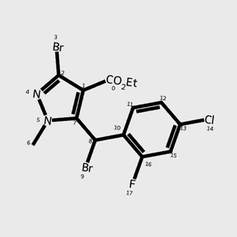 CCOC(=O)c1c(Br)nn(C)c1C(Br)c1ccc(Cl)cc1F